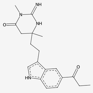 CCC(=O)c1ccc2[nH]cc(CCC3(C)CC(=O)N(C)C(=N)N3)c2c1